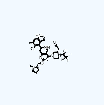 Cc1cc2[nH]ncc2c(C2Cc3nc(OC[C@@H]4CCCN4C)nc(N4CCN(C(=O)C(F)(F)F)[C@@H](CC#N)C4)c3CN2)c1Cl